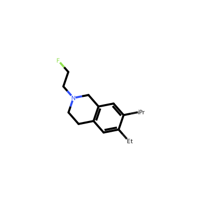 CCc1cc2c(cc1C(C)C)CN(CCF)CC2